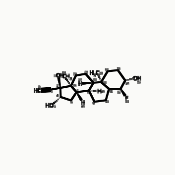 C#C[C@@]1(O)[C@@H](O)C[C@H]2[C@@H]3CCC4[C@H](F)[C@@H](O)CC[C@]4(C)[C@H]3CC[C@@]21C